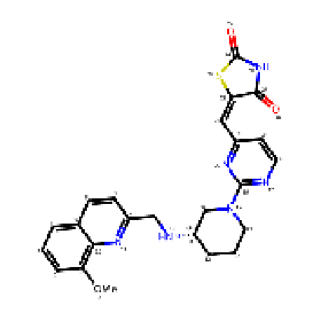 COc1cccc2ccc(CN[C@H]3CCCN(c4nccc(C=C5SC(=O)NC5=O)n4)C3)nc12